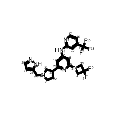 FC1(F)CN(c2cc(Nc3cc(C(F)(F)F)ccn3)cc(C3CCN(Cc4ccn[nH]4)C3)n2)C1